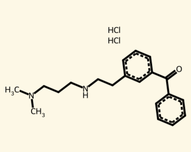 CN(C)CCCNCCc1cccc(C(=O)c2ccccc2)c1.Cl.Cl